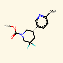 COc1ccc([C@H]2CN(C(=O)OC(C)(C)C)CC(F)(F)C2)cn1